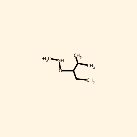 [CH2]NOC(CC)C(C)C